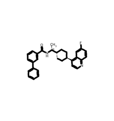 C[C@@H](NC(=O)c1cccc(-c2ccccc2)c1)[C@H]1CC[C@H](c2ccnc3ccc(F)cc32)CC1